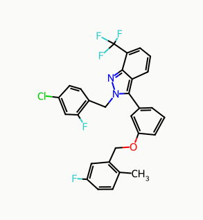 Cc1ccc(F)cc1COc1cccc(-c2c3cccc(C(F)(F)F)c3nn2Cc2ccc(Cl)cc2F)c1